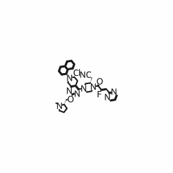 CN1CCC[C@H]1COc1nc2c(c(N3CCN(C(=O)/C(F)=C/c4ncccn4)[C@@H](CC#N)C3)n1)CCN(c1cccc3cccc(Cl)c13)C2